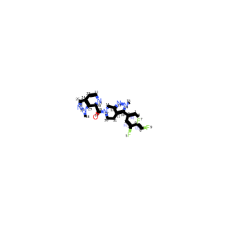 C\C=C(/C=C(F)\C(F)=C\F)c1c2c(nn1C)CN(C(=O)c1nccc3cnn(C)c13)CC2